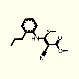 CCCc1ccccc1N/C(SC)=C(\C#N)C(=O)OC